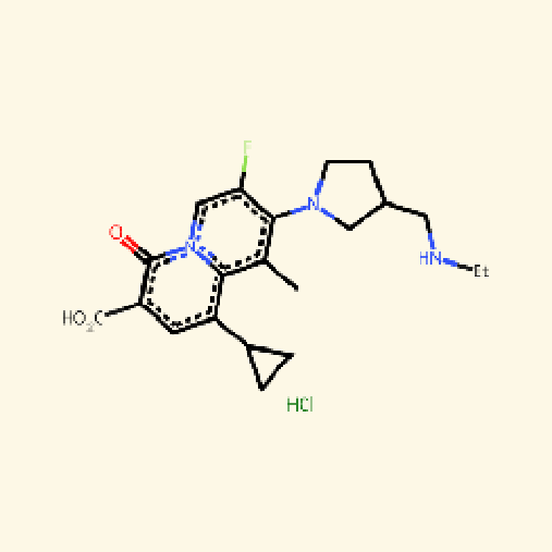 CCNCC1CCN(c2c(F)cn3c(=O)c(C(=O)O)cc(C4CC4)c3c2C)C1.Cl